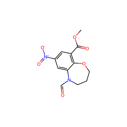 COC(=O)c1cc([N+](=O)[O-])cc2c1OCCCN2C=O